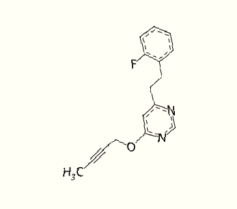 CC#CCOc1cc(CCc2ccccc2F)ncn1